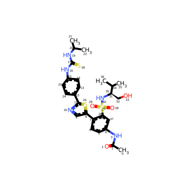 CC(=O)Nc1ccc(-c2cnc(-c3ccc(NC(=S)NC(C)C)cc3)s2)c(S(=O)(=O)N[C@H](CO)C(C)C)c1